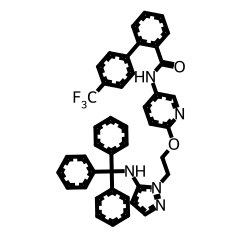 O=C(Nc1ccc(OCCn2nccc2NC(c2ccccc2)(c2ccccc2)c2ccccc2)nc1)c1ccccc1-c1ccc(C(F)(F)F)cc1